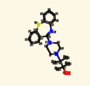 [2H]C([2H])(O)C([2H])([2H])N1CCN(C2=Nc3ccccc3Sc3ccccc32)CC1